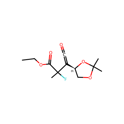 CCOC(=O)C(C)(F)C(=C=O)[C@@H]1COC(C)(C)O1